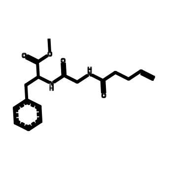 C=CCCC(=O)NCC(=O)NC(Cc1ccccc1)C(=O)OC